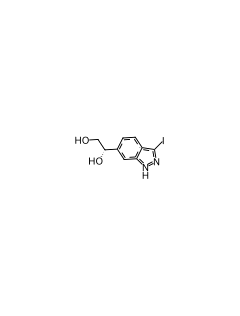 OC[C@@H](O)c1ccc2c(I)n[nH]c2c1